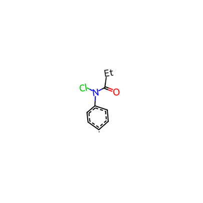 CCC(=O)N(Cl)c1cc[c]cc1